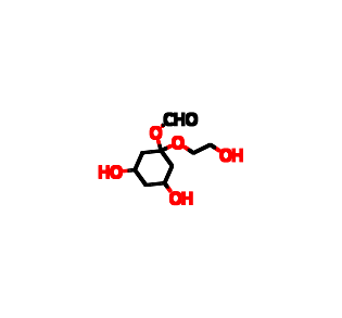 O=COC1(OCCO)CC(O)CC(O)C1